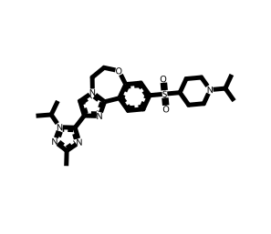 Cc1nc(-c2cn3c(n2)-c2ccc(S(=O)(=O)C4CCN(C(C)C)CC4)cc2OCC3)n(C(C)C)n1